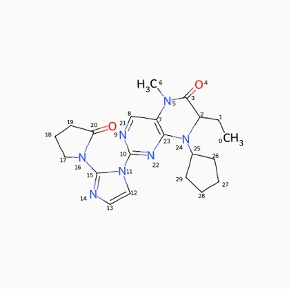 CCC1C(=O)N(C)c2cnc(-n3ccnc3N3CCCC3=O)nc2N1C1CCCC1